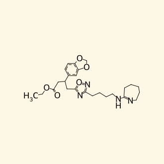 CCOC(=O)CC(Cc1nc(CCCCNC2=NCCCCC2)no1)c1ccc2c(c1)OCO2